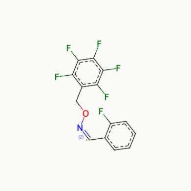 Fc1ccccc1/[C]=N\OCc1c(F)c(F)c(F)c(F)c1F